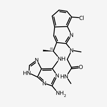 CNC(=O)CN(C)c1nc2c(Cl)cccc2cc1[C@H](C)Nc1nc(N)nc2[nH]cnc12